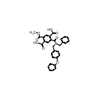 COC(=O)c1cc(C(=O)O)c(C(=O)N(Cc2ccccc2)Cc2ccc(Oc3ccccc3)cc2)cc1C(=O)O